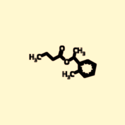 CCCC(=O)OC(C)c1ccccc1C